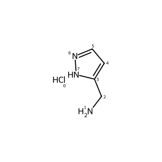 Cl.NCc1ccn[nH]1